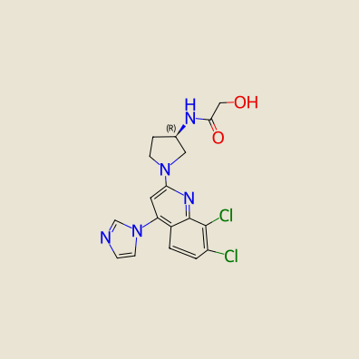 O=C(CO)N[C@@H]1CCN(c2cc(-n3ccnc3)c3ccc(Cl)c(Cl)c3n2)C1